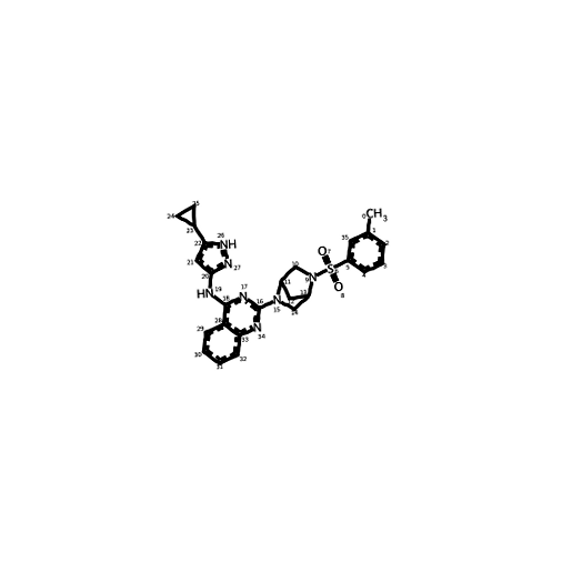 Cc1cccc(S(=O)(=O)N2CC3CC2CN3c2nc(Nc3cc(C4CC4)[nH]n3)c3ccccc3n2)c1